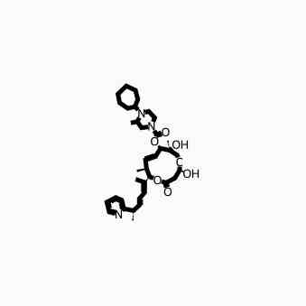 C/C(=C\C=C\[C@H](C)c1ccccn1)[C@H]1OC(=O)C[C@@H](O)CC[C@](C)(O)[C@H](OC(=O)N2CCN(C3CCCCCC3)C(C)C2)/C=C/[C@@H]1C